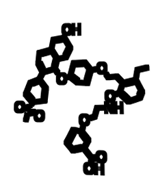 CCc1cccc(ONCCOc2cccc(C(=O)O)c2)c1CCOc1ccc(Oc2c(-c3ccc(S(C)(=O)=O)cc3)ccc3cc(O)ccc23)cc1